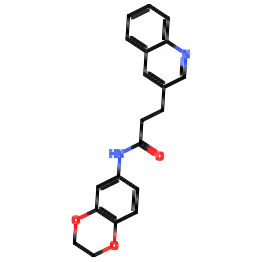 O=C(CCc1cnc2ccccc2c1)Nc1ccc2c(c1)OCCO2